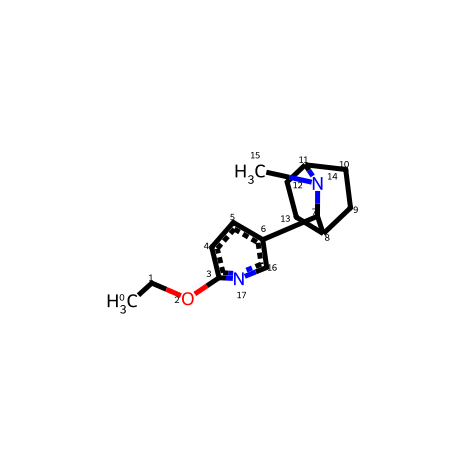 CCOc1ccc(C2C3CCC(CC3)N2C)cn1